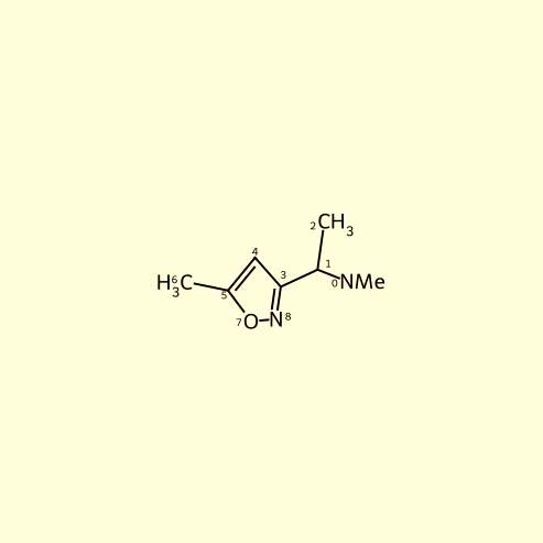 CNC(C)c1cc(C)on1